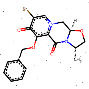 C[C@H]1CO[C@@H]2Cn3cc(Br)c(=O)c(OCc4ccccc4)c3C(=O)N12